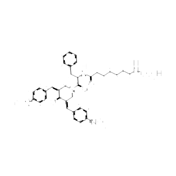 O=C(O)NCCCCCCC(=O)NC(Cc1ccccc1)C(=O)N1CC(=Cc2ccc([N+](=O)[O-])cc2)C(=O)C(=Cc2ccc([N+](=O)[O-])cc2)C1